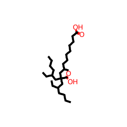 CCCCC(CC)CC(CC(C)CCCCCCCC(=O)O)(CC(CC)CCCC)C(=O)O